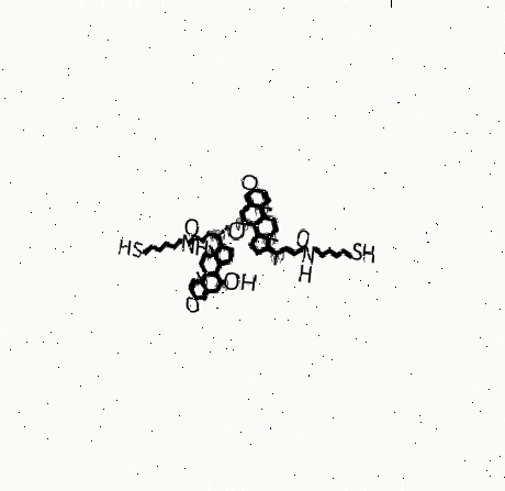 C[C@H](CCC(=O)NCCCCCCS)C1CCC2C3C(CC[C@@]21C)[C@@]1(C)C=CC(=O)C=C1C[C@H]3OC[C@H](CCC(=O)NCCCCCCS)C1CCC2C3C(CC[C@@]21C)[C@@]1(C)C=CC(=O)C=C1C[C@H]3O